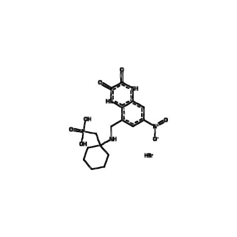 Br.O=c1[nH]c2cc([N+](=O)[O-])cc(CNC3(CP(=O)(O)O)CCCCC3)c2[nH]c1=O